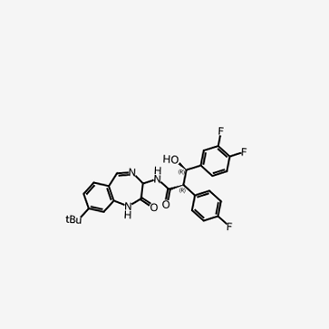 CC(C)(C)c1ccc2c(c1)NC(=O)C(NC(=O)[C@H](c1ccc(F)cc1)[C@@H](O)c1ccc(F)c(F)c1)N=C2